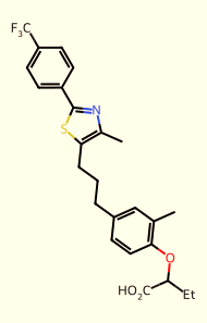 CCC(Oc1ccc(CCCc2sc(-c3ccc(C(F)(F)F)cc3)nc2C)cc1C)C(=O)O